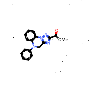 COC(=O)c1nc2n(n1)-c1ccccc1N(c1ccccc1)C2